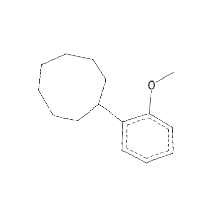 COc1ccccc1C1CCCCCCC1